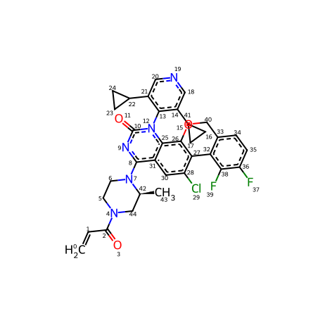 C=CC(=O)N1CCN(c2nc(=O)n(-c3c(C4CC4)cncc3C3CC3)c3c4c(c(Cl)cc23)-c2c(ccc(F)c2F)CO4)[C@@H](C)C1